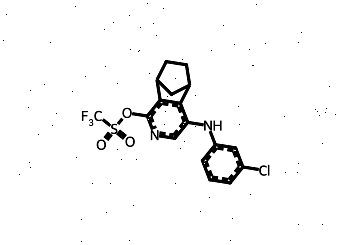 O=S(=O)(Oc1ncc(Nc2cccc(Cl)c2)c2c1C1CCC2C1)C(F)(F)F